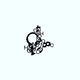 COc1ccc2c(OC3C[C@H]4C(=O)N[C@]5(C(=O)NS(=O)(=O)C6CC6)CC5/C=C\CCCCC[C@H](NC(=O)OC(C)(C)C)C(=O)N4C3)nc(N3CCOCC3)cc2c1